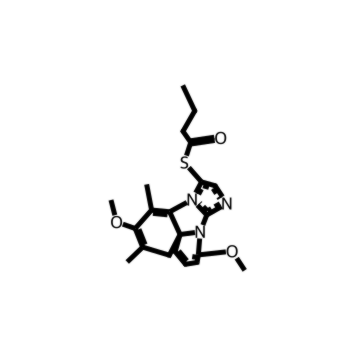 CCCC(=O)Sc1cnc2n1C1=C(C)C(OC)=C(C)CC13C=CC=C(OC)N23